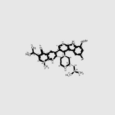 CNc1cc(F)cc2c1[nH]c1ncc(-c3cnc4c(c3)c(=O)c(C(O)O)cn4C)c(N3CCO[C@@H](CN(C)C)C3)c12